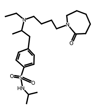 CCN(CCCCN1CCCCCC1=O)C(C)Cc1ccc(S(=O)(=O)NC(C)C)cc1